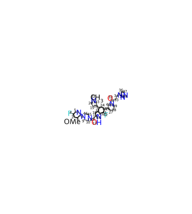 COc1cc(F)cnc1N1CCN(C(=O)c2cc3c(C4CCN(C)C4)cc(C4=CCCN(C(=O)CCn5ccnn5)C4)c(F)c3[nH]2)CC1